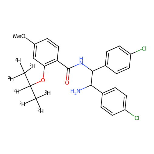 [2H]C([2H])([2H])C([2H])(Oc1cc(OC)ccc1C(=O)NC(c1ccc(Cl)cc1)C(N)c1ccc(Cl)cc1)C([2H])([2H])[2H]